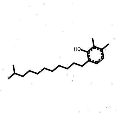 Cc1ccc(CCCCCCCCCC(C)C)c(O)c1C